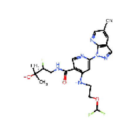 CC(C)(O)C(F)CNC(=O)c1cnc(-n2ncc3cc(C#N)cnc32)cc1NCCOC(F)F